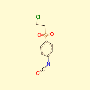 O=C=Nc1ccc(S(=O)(=O)CCCl)cc1